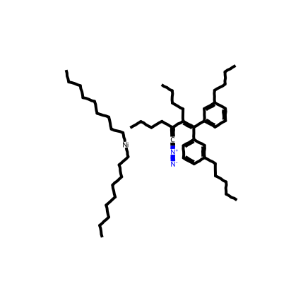 CCCCCCCC[CH2][Ni][CH2]CCCCCCCC.CCCCCc1cccc(C(=C(CCCC)C(=C=[N+]=[N-])CCCC)c2cccc(CCCC)c2)c1